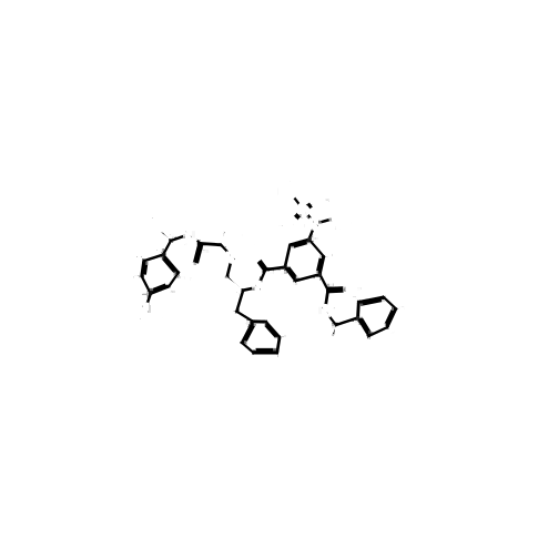 C[C@H](NC[C@H](Cc1ccccc1)NC(=O)c1cc(C(=O)N[C@H](C)c2ccccc2)cc(N(C)S(C)(=O)=O)c1)C(=O)N[C@H](C)c1ccc(N)cc1